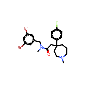 CN1CCCC(CC(=O)N(C)Cc2cc(Br)cc(Br)c2)(c2ccc(F)cc2)CC1